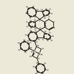 C1=CC2=C(CC1)C1(c3ccccc3-c3ccccc31)c1ccccc1C21c2ccccc2-c2c(C3CN4C(c5ccccc5)C=P34c3ccccc3)cccc21